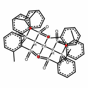 Cc1ccccc1S(=O)(=O)[PH](S(=O)(=O)c1ccccc1C)(S(=O)(=O)c1ccccc1C)[Pd]([Cl])([Cl])[PH](S(=O)(=O)c1ccccc1C)(S(=O)(=O)c1ccccc1C)S(=O)(=O)c1ccccc1C